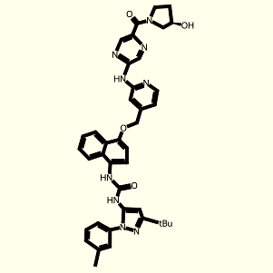 Cc1cccc(-n2nc(C(C)(C)C)cc2NC(=O)Nc2ccc(OCc3ccnc(Nc4cnc(C(=O)N5CC[C@@H](O)C5)cn4)c3)c3ccccc23)c1